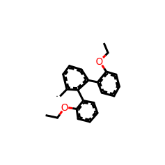 [CH2]c1cccc(-c2ccccc2OCC)c1-c1ccccc1OCC